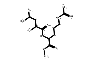 COC(=O)C(CCCNC(=N)N)NC(=O)C(N)CC(C)C